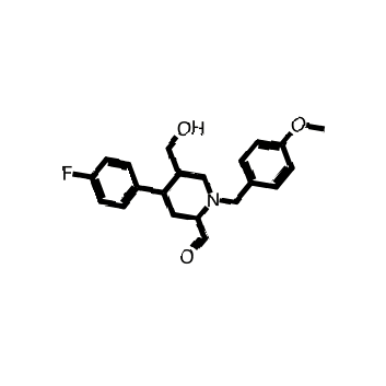 COc1ccc(CN2CC(CO)C(c3ccc(F)cc3)CC2C=O)cc1